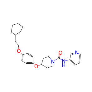 O=C(Nc1cccnc1)N1CCC(Oc2ccc(OCCC3CCCCC3)cc2)CC1